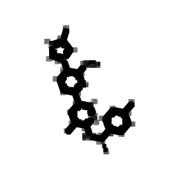 COc1nc(-c2cc(C)c(N[C@@H](C)c3ccc(C)cc3)nn2)ccc1-n1cnc(C)c1